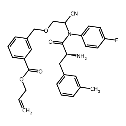 C=CCOC(=O)c1cccc(COCC(C#N)N(C(=O)[C@@H](N)Cc2cccc(C)c2)c2ccc(F)cc2)c1